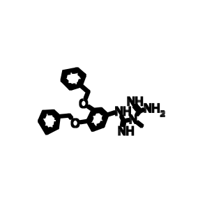 CN(C(=N)N)C(=N)Nc1ccc(OCc2ccccc2)c(OCc2ccccc2)c1